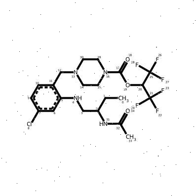 CCC(CNc1cc(Cl)ccc1CN1CCN(C(=O)OC(C(F)(F)F)C(F)(F)F)CC1)NC(C)=O